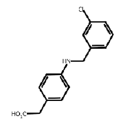 O=C(O)Cc1ccc(NCc2cccc(Cl)c2)cc1